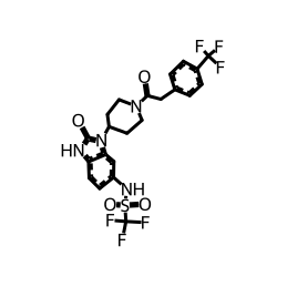 O=C(Cc1ccc(C(F)(F)F)cc1)N1CCC(n2c(=O)[nH]c3ccc(NS(=O)(=O)C(F)(F)F)cc32)CC1